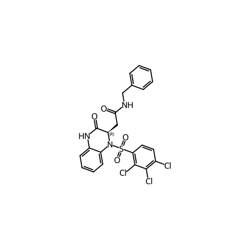 O=C(C[C@@H]1C(=O)Nc2ccccc2N1S(=O)(=O)c1ccc(Cl)c(Cl)c1Cl)NCc1ccccc1